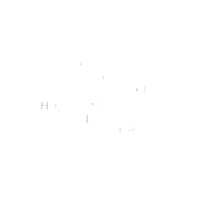 CCS(=O)(=O)OC(C)C(C)C